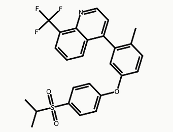 Cc1ccc(Oc2ccc(S(=O)(=O)C(C)C)cc2)cc1-c1ccnc2c(C(F)(F)F)cccc12